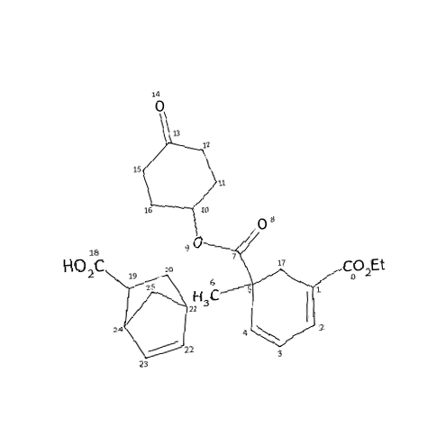 CCOC(=O)C1=CC=CC(C)(C(=O)OC2CCC(=O)CC2)C1.O=C(O)C1CC2C=CC1C2